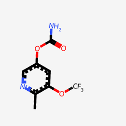 Cc1ncc(OC(N)=O)cc1OC(F)(F)F